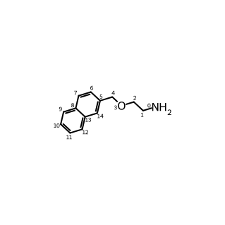 NCCOCc1ccc2ccccc2c1